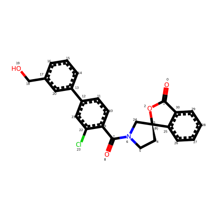 O=C1O[C@]2(CCN(C(=O)c3ccc(-c4cccc(CO)c4)cc3Cl)C2)c2ccccc21